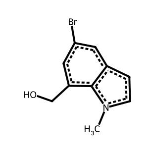 Cn1ccc2cc(Br)cc(CO)c21